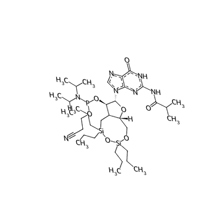 CCC[Si]1(CCC)CC2[C@@H](OP(OCCC#N)N(C(C)C)C(C)C)[C@H](n3cnc4c(=O)[nH]c(NC(=O)C(C)C)nc43)O[C@@H]2CO[Si](CCC)(CCC)O1